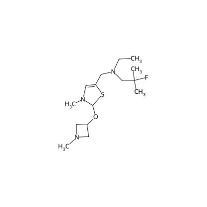 CCN(CC1=CN(C)C(OC2CN(C)C2)S1)CC(C)(C)F